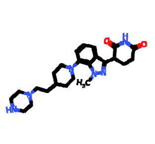 Cn1nc(C2CCC(=O)NC2=O)c2cccc(N3CCC(CCN4CCNCC4)CC3)c21